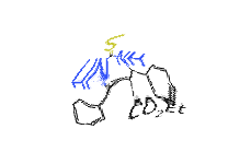 CCOC(=O)C1=C(c2ccccc2)NC(=S)NC1c1ccccc1